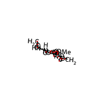 C=CCOC(=O)NCCCCNC(=O)COc1ccc2[nH]c3c(c2c1)CCN1C=C(C(=O)c2ccccc2OCC=C)C=C(C(=O)OC)C31C(=O)OC